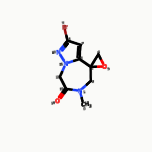 CN1CC2(CO2)c2cc(Br)nn2CC1=O